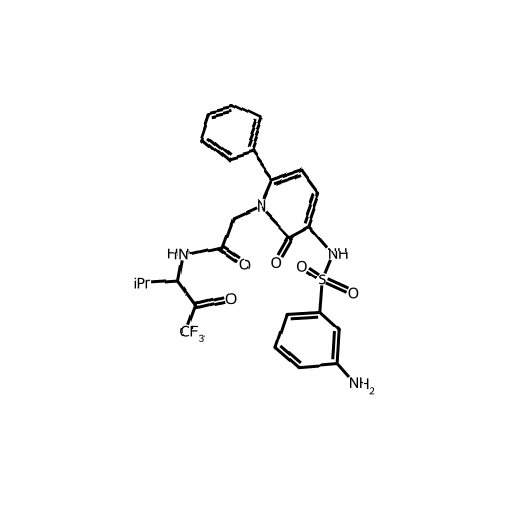 CC(C)C(NC(=O)Cn1c(-c2ccccc2)ccc(NS(=O)(=O)c2cccc(N)c2)c1=O)C(=O)C(F)(F)F